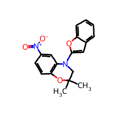 CC1(C)CN(c2cc3ccccc3o2)c2cc([N+](=O)[O-])ccc2O1